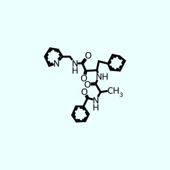 CC(NC(=O)c1ccccc1)C(=O)NC(Cc1ccccc1)C(=O)C(=O)NCc1ccccn1